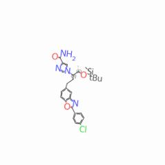 C[C@H](O[Si](C)(C)C(C)(C)C)[C@@H](CCc1ccc2oc(-c3ccc(Cl)cc3)nc2c1)n1cnc(C(N)=O)c1